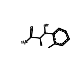 CCCN(c1ccccc1C)[C@@H](C)C(N)=O